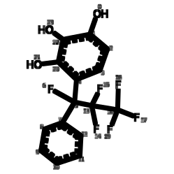 Oc1ccc(C(F)(c2ccccc2)C(F)(F)C(F)(F)F)c(O)c1O